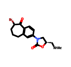 CC(=O)NC[C@H]1CN(c2ccc3c(c2)CCCC(Br)C3=O)C(=O)O1